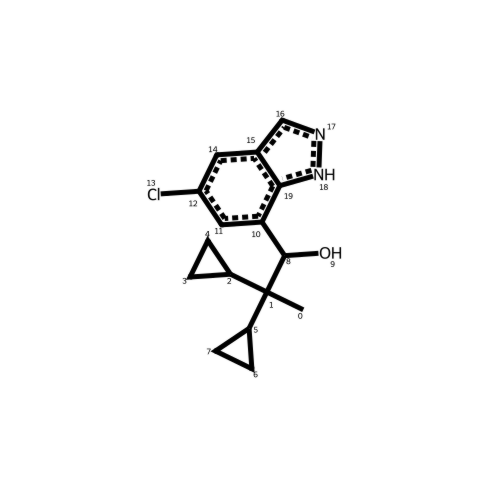 CC(C1CC1)(C1CC1)C(O)c1cc(Cl)cc2cn[nH]c12